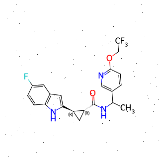 CC(NC(=O)[C@@H]1C[C@H]1c1cc2cc(F)ccc2[nH]1)c1ccc(OCC(F)(F)F)nc1